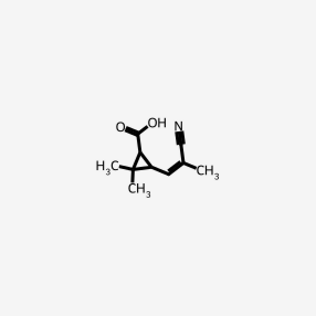 C/C(C#N)=C/C1C(C(=O)O)C1(C)C